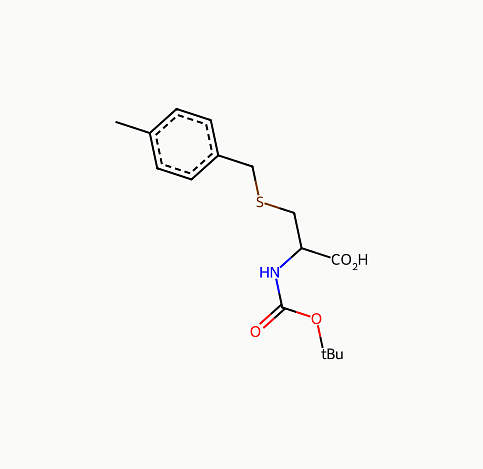 Cc1ccc(CSCC(NC(=O)OC(C)(C)C)C(=O)O)cc1